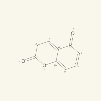 O=C1CC=C2C(=O)C=CC=C2O1